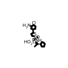 CC1[C@H](c2ccccc2)[C@]1(NS(=O)(=O)c1ccc(-c2ccc(Cl)c(N)c2)s1)C(=O)O